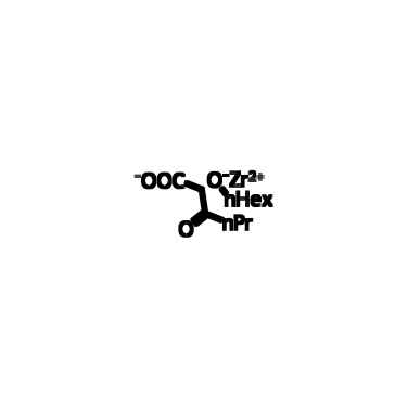 CCCC(=O)CC(=O)[O-].CCCCCC[O-].[Zr+2]